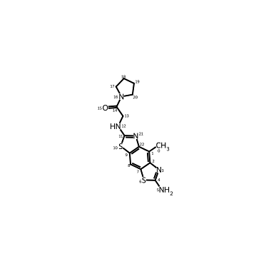 Cc1c2nc(N)sc2cc2sc(NCC(=O)N3CCCC3)nc12